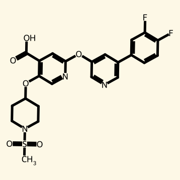 CS(=O)(=O)N1CCC(Oc2cnc(Oc3cncc(-c4ccc(F)c(F)c4)c3)cc2C(=O)O)CC1